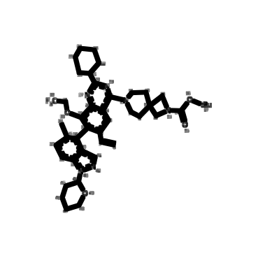 C=Cc1cc2c(N3CCC4(CC3)CN(C(=O)OC(C)(C)C)C4)nc(C3CCCCC3)nc2c(OCC(F)(F)F)c1-c1c(C)ccc2c1cnn2C1CCCCO1